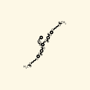 C=CC(=O)OCCCCCCOc1ccc(OC(=O)C2CCC(C(=O)OCCc3ccc(OC(=O)C4CCC(C(=O)Oc5ccc(OCCCCCCOC(=O)C=C)cc5)CC4)c4nc(/C=N\N=C\c5ccccc5)sc34)CC2)cc1